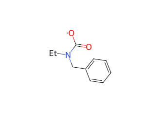 CCN(Cc1ccccc1)C([O])=O